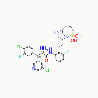 N[C@H](C(=O)Nc1cccc(F)c1CCC1CNC2CCCS(O)(O)N1C2)[C@H](c1cncc(Cl)c1)c1ccc(Cl)c(F)c1